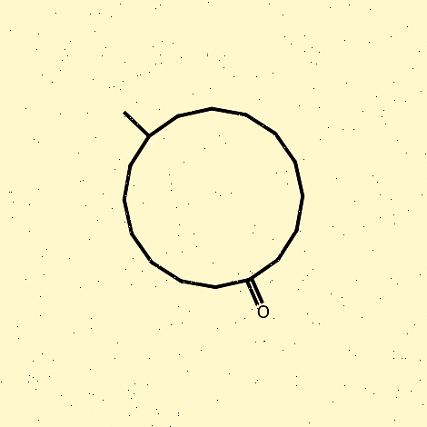 CC1CCCCCCCCC(=O)CCCCCC1